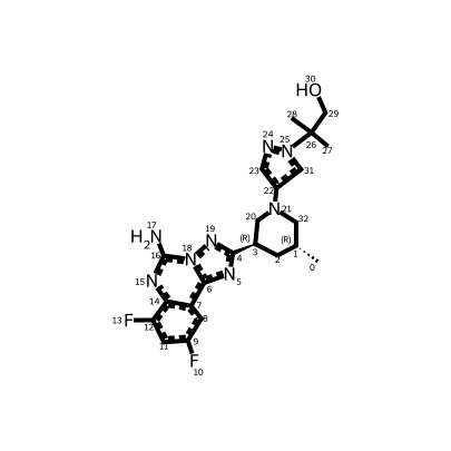 C[C@@H]1C[C@@H](c2nc3c4cc(F)cc(F)c4nc(N)n3n2)CN(c2cnn(C(C)(C)CO)c2)C1